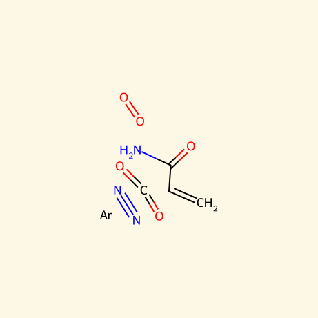 C=CC(N)=O.N#N.O=C=O.O=O.[Ar]